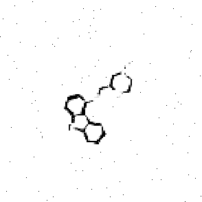 CCCN1CCOC(COc2cccc3[nH]c4ccccc4c23)C1